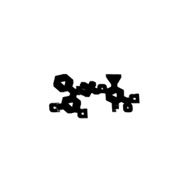 CC1(COc2cc(F)c(C(=O)Cl)cc2C2CC2)CN(C(c2ccccc2)c2cc(Cl)cc(Cl)c2)C1